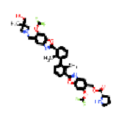 Cc1c(-c2nc3cc(COC(=O)[C@@H]4CCCN4)c(OC(F)F)cc3o2)cccc1-c1cccc(-c2nc3cc(CN4CC(C)(CO)C4)c(OC(F)F)cc3o2)c1C